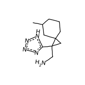 CC1CCCC2(C1)CC2(CN)c1nnn[nH]1